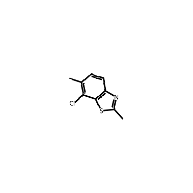 Cc1nc2ccc(C)c(Cl)c2s1